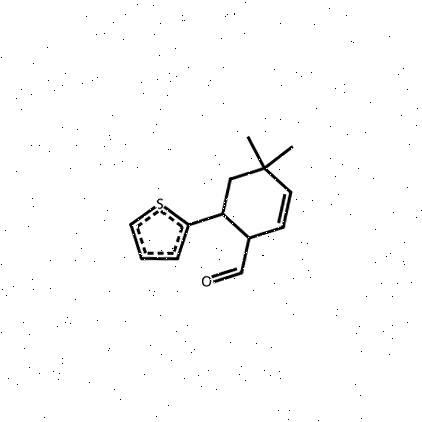 CC1(C)C=CC(C=O)C(c2cccs2)C1